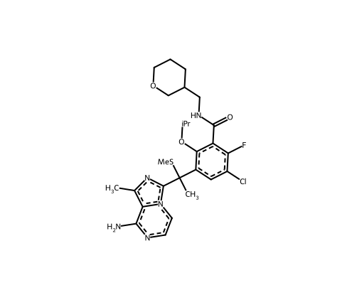 CSC(C)(c1cc(Cl)c(F)c(C(=O)NCC2CCCOC2)c1OC(C)C)c1nc(C)c2c(N)nccn12